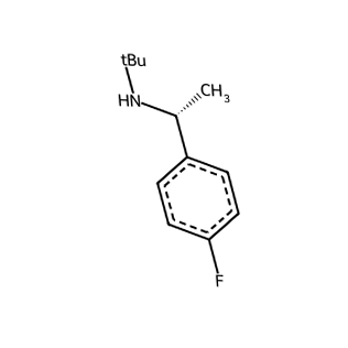 C[C@@H](NC(C)(C)C)c1ccc(F)cc1